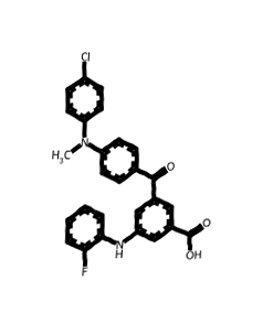 CN(c1ccc(Cl)cc1)c1ccc(C(=O)c2cc(Nc3ccccc3F)cc(C(=O)O)c2)cc1